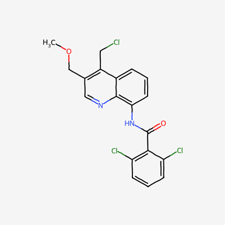 COCc1cnc2c(NC(=O)c3c(Cl)cccc3Cl)cccc2c1CCl